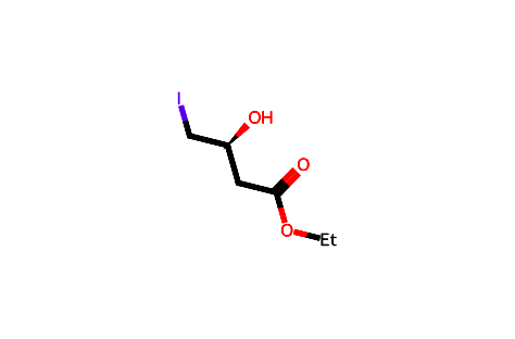 CCOC(=O)C[C@H](O)CI